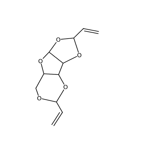 C=CC1OCC2OC3OC(C=C)OC3C2O1